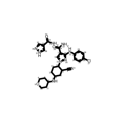 N#CC1CC(NC2CCOCC2)CCC1n1cc(C(N)=O)c(Nc2ccc(Cl)cc2)n1.NC(=O)c1cn[nH]c1